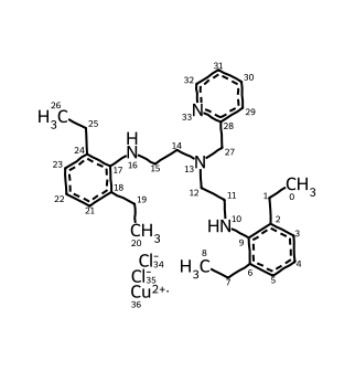 CCc1cccc(CC)c1NCCN(CCNc1c(CC)cccc1CC)Cc1ccccn1.[Cl-].[Cl-].[Cu+2]